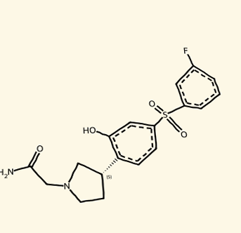 NC(=O)CN1CC[C@@H](c2ccc(S(=O)(=O)c3cccc(F)c3)cc2O)C1